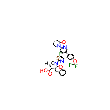 CN(C(=O)[C@@H](CC(=O)O)Cc1ccccc1)c1nc(-c2cc(OC(F)F)ccc2-c2ccc(N3CCCCC3=O)nc2)c(F)s1